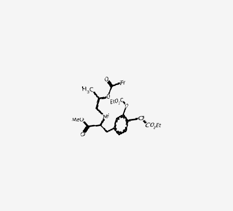 CCOC(=O)Oc1ccc(C[C@H](NCC(C)OC(=O)C(C)C)C(=O)OC)cc1OC(=O)OCC